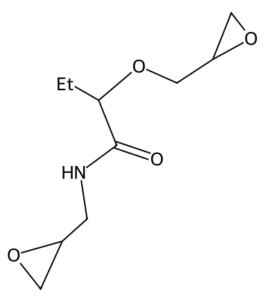 CCC(OCC1CO1)C(=O)NCC1CO1